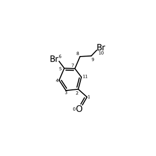 O=Cc1ccc(Br)c(CCBr)c1